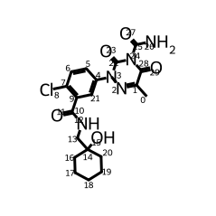 Cc1nn(-c2ccc(Cl)c(C(=O)NCC3(O)CCCCC3)c2)c(=O)n(C(N)=O)c1=O